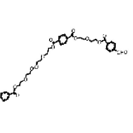 O=Cc1ccc(C(=O)OCCOCCOC(=O)c2ccc(C(=O)OCCOCCOOCCOCCOC(=O)c3ccccc3)cc2)cc1